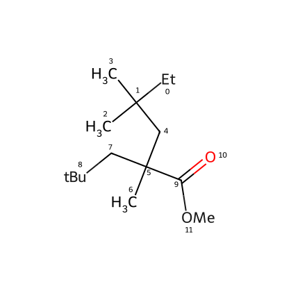 CCC(C)(C)CC(C)(CC(C)(C)C)C(=O)OC